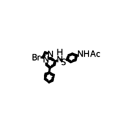 CC(=O)Nc1ccc(SNc2cc(-c3ccccc3)cn3c(Br)cnc23)cc1